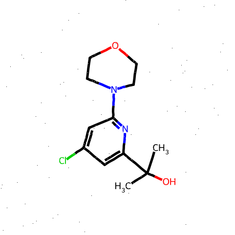 CC(C)(O)c1cc(Cl)cc(N2CCOCC2)n1